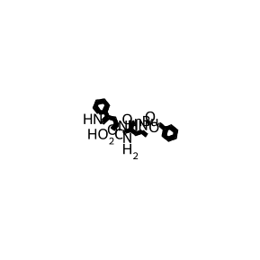 CCCCC(=O)C(CC(C)NC(=O)OCc1ccccc1)C(N)(NC(=O)Cc1c[nH]c2ccccc12)C(=O)O